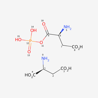 N[C@@H](CC(=O)O)C(=O)O.N[C@@H](CC(=O)O)C(=O)OP(=O)(O)O